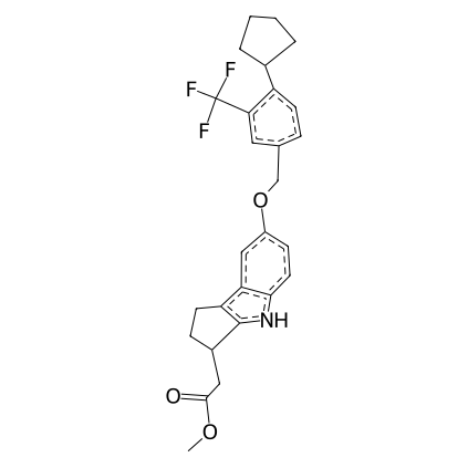 COC(=O)CC1CCc2c1[nH]c1ccc(OCc3ccc(C4CCCC4)c(C(F)(F)F)c3)cc21